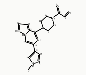 C=CC(=O)N1CCC(c2nc(-c3cnn(C)c3)cn3nccc23)CC1